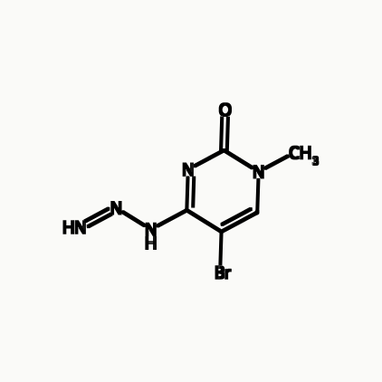 Cn1cc(Br)c(NN=N)nc1=O